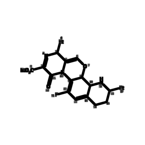 CCOC(=O)C1=NC(CC)C2=COC3C(=C(F)C=C4CCC(CC)NC43)N2C1=O